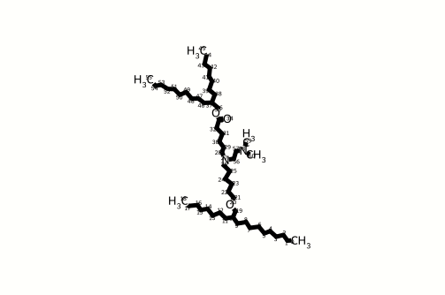 CCCCCCCCCCC(CCCCCCCC)COCCCCCCN(CCCCCC(=O)OCC(CCCCCCCC)CCCCCCCCCC)CCN(C)C